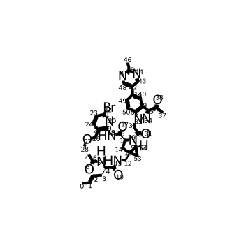 C/C=C/C[C@H](NC(C)=O)C(=O)NC[C@@]12C[C@@H](C(=O)Nc3nc(Br)ccc3COC)N(C(=O)Cn3nc(C(C)=O)c4cc(-c5cnc(C)nc5)ccc43)[C@@H]1C2